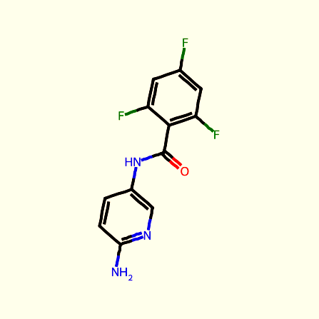 Nc1ccc(NC(=O)c2c(F)cc(F)cc2F)cn1